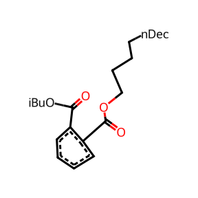 CCCCCCCCCCCCCCOC(=O)c1ccccc1C(=O)OCC(C)C